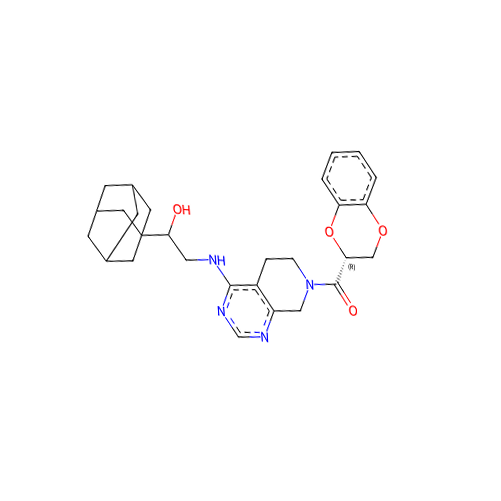 O=C([C@H]1COc2ccccc2O1)N1CCc2c(ncnc2NCC(O)C23CC4CC(CC(C4)C2)C3)C1